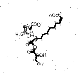 CCCCCCCC/C=C\CCCCCCCC(=O)OC(=O)C(O)CO.C[N+](C)(C)CC(=O)[O-]